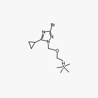 C[SH](C)(C)(C)CCOCn1nc(Br)nc1C1CC1